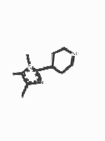 Cc1nc(C2CCNCC2)n(C)c1C